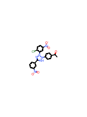 CC(=O)c1ccc(N2NC(c3cccc([N+](=O)[O-])c3)=NN2c2cc([N+](=O)[O-])ccc2Cl)cc1